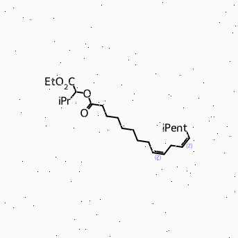 CCCC(C)/C=C\C/C=C\CCCCCCCC(=O)OC(C(=O)OCC)C(C)C